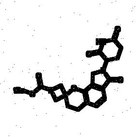 CC(C)(C)OC(=O)N1CC2(CCc3ccc4c(c3O2)CN(C2CCC(=O)NC2=O)C4=O)C1